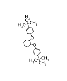 CC(C)(C)c1ccc(OC2CCCCC2Oc2ccc(C(C)(C)C)cc2)cc1